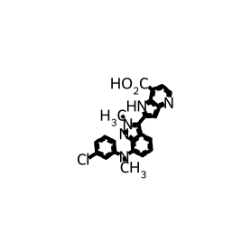 CN(c1cccc(Cl)c1)c1cccc2c(-c3cc4nccc(C(=O)O)c4[nH]3)n(C)nc12